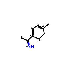 CC(=N)C1=CC=C(C)CC1